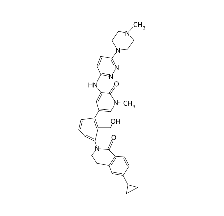 CN1CCN(c2ccc(Nc3cc(-c4cccc(N5CCc6cc(C7CC7)ccc6C5=O)c4CO)cn(C)c3=O)nn2)CC1